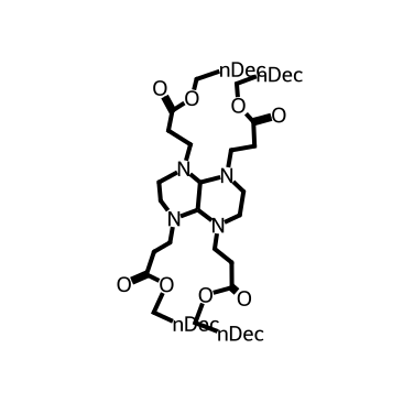 CCCCCCCCCCCOC(=O)CCN1CCN(CCC(=O)OCCCCCCCCCCC)C2C1N(CCC(=O)OCCCCCCCCCCC)CCN2CCC(=O)OCCCCCCCCCCC